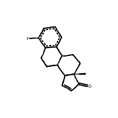 C[C@]12CCC3c4cccc(F)c4CCC3C1C=CC2=O